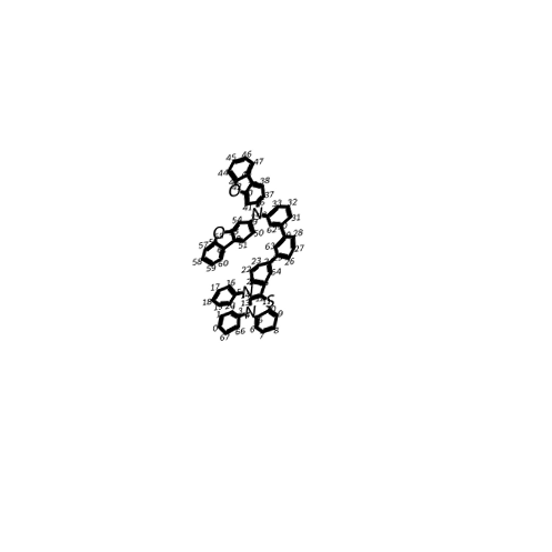 c1ccc(N2c3ccccc3Sc3c2n(-c2ccccc2)c2ccc(-c4cccc(-c5cccc(N(c6ccc7c(c6)oc6ccccc67)c6ccc7c(c6)oc6ccccc67)c5)c4)cc32)cc1